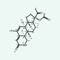 CC(=O)O[C@]1(C(C)=O)CC[C@H]2[C@@H]3C=C(F)C4=CC(=O)NC[C@]4(C)[C@H]3CC[C@@]21C